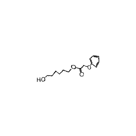 O=C(COc1ccccc1)OCCCCCCO